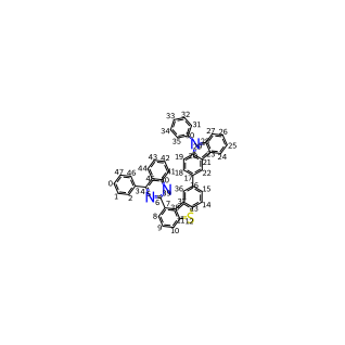 c1ccc(-c2nc(-c3cccc4sc5ccc(-c6ccc7c(c6)c6ccccc6n7-c6ccccc6)cc5c34)nc3ccccc23)cc1